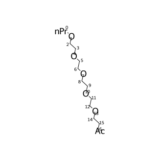 CCCOCCOCCOCCOCCOCCC(C)=O